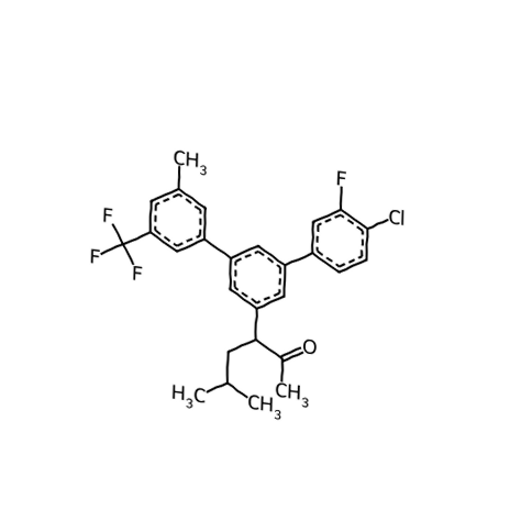 CC(=O)C(CC(C)C)c1cc(-c2cc(C)cc(C(F)(F)F)c2)cc(-c2ccc(Cl)c(F)c2)c1